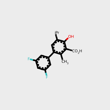 Cc1c(-c2cc(F)cc(F)c2)cc(C(C)C)c(O)c1C(=O)O